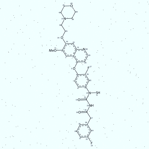 COc1cc2c(Oc3ccc(N(S)C(=O)NC(=O)Cc4cccc(F)c4)cc3F)ccnc2cc1OCCN1CCOCC1